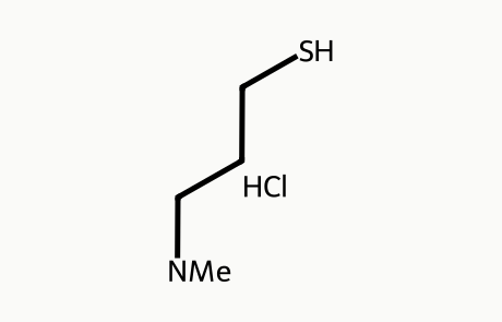 CNCCCS.Cl